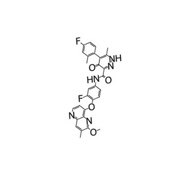 COc1nc2c(Oc3ccc(NC(=O)c4n[nH]c(C)c(-c5ccc(F)cc5C)c4=O)cc3F)ccnc2cc1C